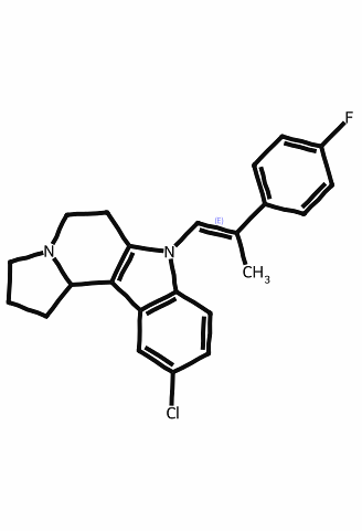 C/C(=C\n1c2c(c3cc(Cl)ccc31)C1CCCN1CC2)c1ccc(F)cc1